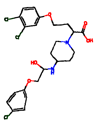 O=C(O)C(CCOc1ccc(Cl)c(Cl)c1)N1CCC(NC(O)COc2ccc(Cl)cc2)CC1